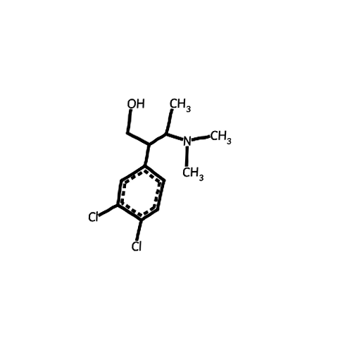 CC(C(CO)c1ccc(Cl)c(Cl)c1)N(C)C